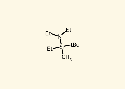 CCN(CC)[Si](C)(CC)C(C)(C)C